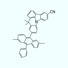 Cc1ccc2c(-c3ccc4c(c3)C(C)(C)c3cccc5c6cc(C#N)ccc6n-4c35)c3cc(C)ccc3c(-c3ccccc3)c2c1